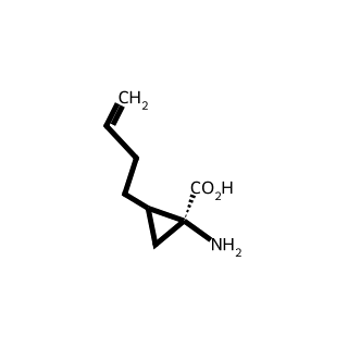 C=CCCC1C[C@@]1(N)C(=O)O